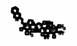 CC[C@H](C)C([C@@H](CC(=O)N1CCC[C@H]1[C@H](OC)[C@@H](C)C(=O)NCCc1cc2ccccc2cn1)OC)N(C)C(=O)[C@@H](NC(=O)C(C(C)C)N(C)C)C(C)C